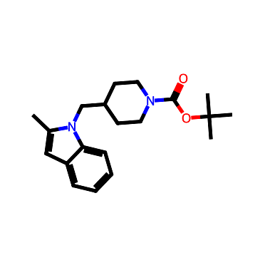 Cc1cc2ccccc2n1CC1CCN(C(=O)OC(C)(C)C)CC1